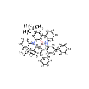 CC(C)(C)c1cc2c3c(c1)N1c4ccccc4C(C)(C)c4cccc(c41)B3N(c1cc(-c3ccccc3)cc(-c3ccccc3)c1)c1ccccc1-2